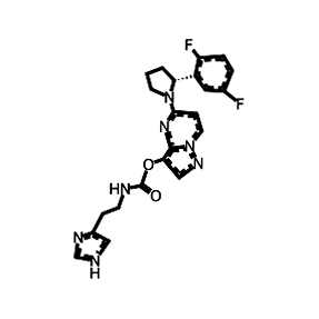 O=C(NCCc1c[nH]cn1)Oc1cnn2ccc(N3CCC[C@@H]3c3cc(F)ccc3F)nc12